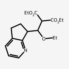 CCOC(=O)C(C(=O)OCC)C(OCC)C1CCc2cccnc21